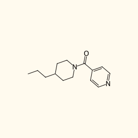 CCCC1CCN(C(=O)c2ccncc2)CC1